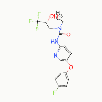 CCN(C[C@@H](O)C(F)(F)F)C(=O)Nc1ccc(Oc2ccc(F)cc2)cn1